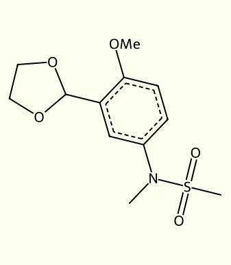 COc1ccc(N(C)S(C)(=O)=O)cc1C1OCCO1